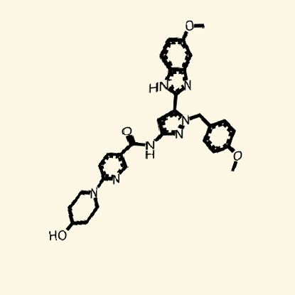 COc1ccc(Cn2nc(NC(=O)c3ccc(N4CCC(O)CC4)nc3)cc2-c2nc3cc(OC)ccc3[nH]2)cc1